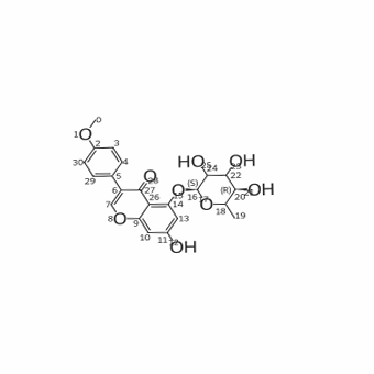 COc1ccc(-c2coc3cc(O)cc(O[C@@H]4OC(C)[C@H](O)C(O)C4O)c3c2=O)cc1